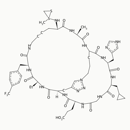 CC[C@@H]1NC(=O)[C@H]2Cc3cn(nn3)CCCC(NC(=O)[C@H](C)NC(=O)[C@H](NS3(C)CS3)CCCCNC(=O)[C@H](Cc3ccc(C(F)(F)F)cc3)NC1=O)C(=O)N[C@@H](Cc1c[nH]cn1)C(=O)N[C@@H](CC1CC1)C(=O)NCC(=O)N[C@@H](CCC(=O)O)C(=O)N2